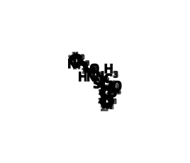 Cc1nc(NC(=O)CCc2cccnc2)sc1C(Cc1ccccc1)C1=COCO1